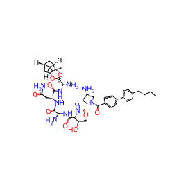 CCCCc1ccc(-c2ccc(C(=O)N3C[C@@H](N)C[C@H]3C(=O)N[C@H](C(=O)N[C@@H](N)C(=O)N[C@@H](CC(N)=O)C(=O)N[C@@H](N)B3O[C@@H]4C[C@@H]5C[C@@H](C5(C)C)[C@]4(C)O3)[C@@H](C)O)cc2)cc1